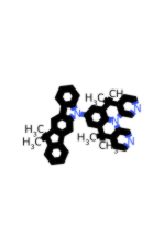 CC1(C)c2ccccc2-c2cc3c(cc21)c1ccccc1n3-c1cc2c3c(c1)C(C)(C)c1ccncc1N3c1cnccc1C2(C)C